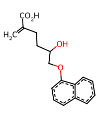 C=C(CCC(O)COc1cccc2ccccc12)C(=O)O